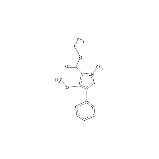 CCOC(=O)c1c(OC)c(-c2ccccc2)nn1C